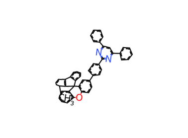 CC1CC=CC2=C1C1(c3ccccc3Oc3ccc(-c4ccc(-c5nc(-c6ccccc6)cc(-c6ccccc6)n5)cc4)cc31)c1ccccc12